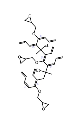 C=C/C=C\C(OCC1CO1)=C(/C=C)CC(C)(CC)C(=C/C=C)/C(OCC1CO1)=C(\C=C)C(C)(CC)C(=C/C=C)/C(=C\C=C)OCC1CO1